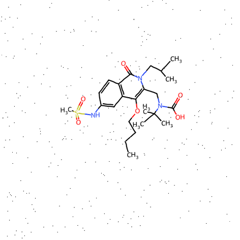 CCCCOc1c(CN(C(=O)O)C(C)(C)C)n(CC(C)C)c(=O)c2ccc(NS(C)(=O)=O)cc12